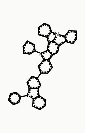 c1ccc(-n2c3ccccc3c3cc(-c4ccc5c6cc7c8ccccc8n8c9ccccc9c(c6n(-c6ccccc6)c5c4)c78)ccc32)cc1